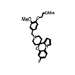 COCCOc1ccc(CN2CCC3(CC2)Oc2cc(F)ccc2-n2cccc23)cc1OC